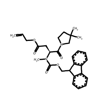 C=CCOC(=O)C[C@@H](C(=O)N1CCC(C)(C)C1)N(C)C(=O)OCC1c2ccccc2-c2ccccc21